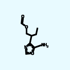 CCC(COC=O)c1ncoc1N